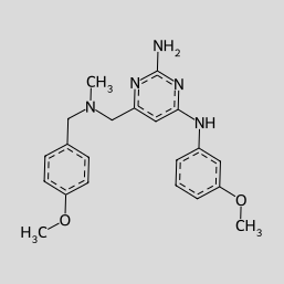 COc1ccc(CN(C)Cc2cc(Nc3cccc(OC)c3)nc(N)n2)cc1